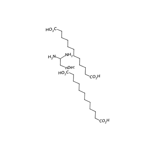 CCCCCCCCCCCC(N)N.O=C(O)CCCCCCCCCCC(=O)O.O=C(O)CCCCCCCCCCC(=O)O